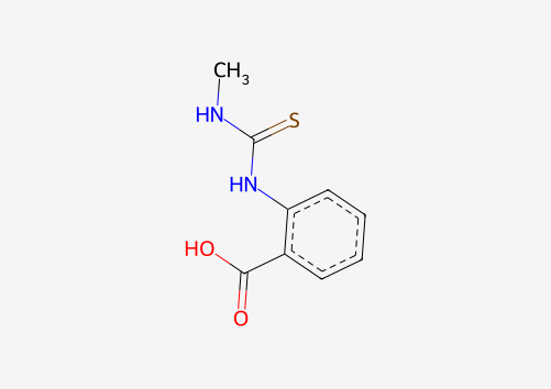 CNC(=S)Nc1ccccc1C(=O)O